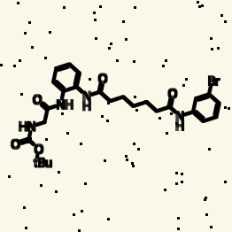 CC(C)(C)OC(=O)NCC(=O)Nc1ccccc1NC(=O)CCCCCC(=O)Nc1cccc(Br)c1